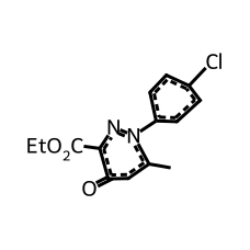 CCOC(=O)c1nn(-c2ccc(Cl)cc2)c(C)cc1=O